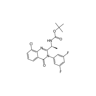 C[C@H](NC(=O)OC(C)(C)C)c1nc2c(Cl)cccc2c(=O)n1-c1cc(F)cc(F)c1